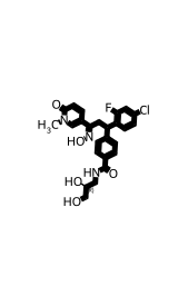 Cn1cc(C(CC(c2ccc(C(=O)NC[C@@H](O)CO)cc2)c2ccc(Cl)cc2F)=NO)ccc1=O